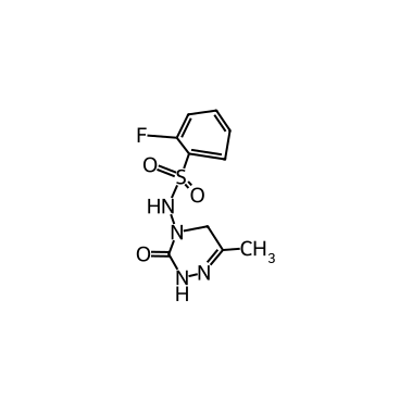 CC1=NNC(=O)N(NS(=O)(=O)c2ccccc2F)C1